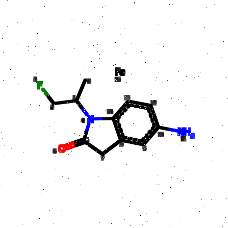 CC(CF)N1C(=O)Cc2cc(N)ccc21.[Fe]